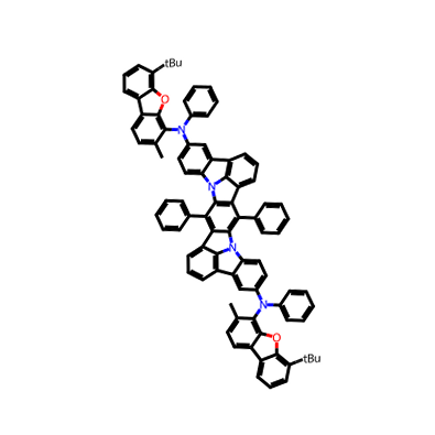 Cc1ccc2c(oc3c(C(C)(C)C)cccc32)c1N(c1ccccc1)c1ccc2c(c1)c1cccc3c4c(-c5ccccc5)c5c(c(-c6ccccc6)c4n2c13)c1cccc2c3cc(N(c4ccccc4)c4c(C)ccc6c4oc4c(C(C)(C)C)cccc46)ccc3n5c21